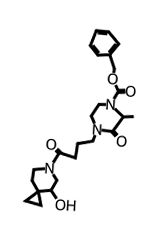 CC1C(=O)N(CCCC(=O)N2CCC3(CC3)C(O)C2)CCN1C(=O)OCc1ccccc1